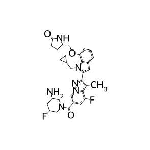 Cc1c(-c2cc3cccc(OC[C@@H]4CCC(=O)N4)c3n2CC2CC2)nn2cc(C(=O)N3C[C@H](N)C[C@@H](F)C3)cc(F)c12